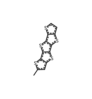 Cc1cc2sc3c(sc4c5sccc5sc43)c2s1